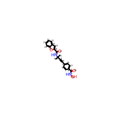 CC(C)(C#Cc1ccc(C(=O)NO)cc1)NC(=O)c1cc2ccccc2o1